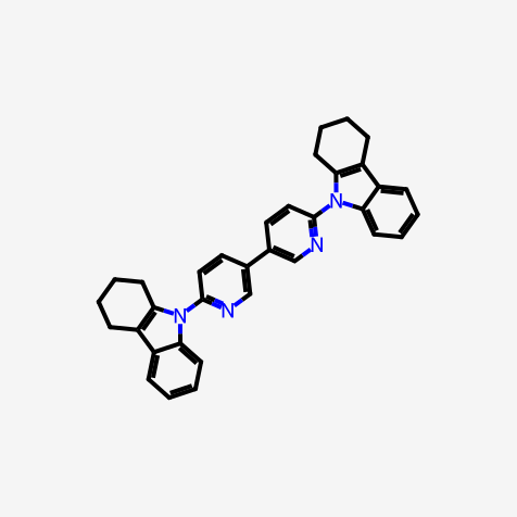 c1ccc2c(c1)c1c(n2-c2ccc(-c3ccc(-n4c5c(c6ccccc64)CCCC5)nc3)cn2)CCCC1